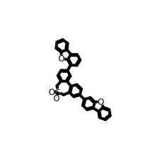 O=S1(=O)Cc2cc(-c3ccc4c(c3)oc3ccccc34)ccc2-c2cc(-c3cccc4c3oc3ccccc34)ccc2C1